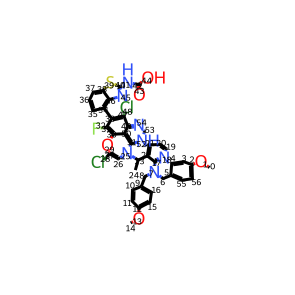 COc1ccc(CN(Cc2ccc(OC)cc2)c2ncccc2C(C)N2C=C(Cl)Oc3c(F)c(-c4cccc5sc(NC(=O)O)nc45)c(Cl)c4c3=C2NCN=4)cc1